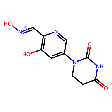 O=C1CCN(c2cnc(/C=N/O)c(O)c2)C(=O)N1